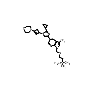 C[Si](C)(C)CCOCn1cc(C(F)(F)F)c2cc(-c3cn(C45CC(N6CCOCC6)(C4)C5)c(C4CC4)n3)cnc21